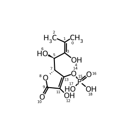 CC(C)=C(O)[C@H](O)[C@H]1OC(=O)C(O)=C1OP(=O)(O)O